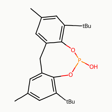 Cc1cc2c(c(C(C)(C)C)c1)OP(O)Oc1c(cc(C)cc1C(C)(C)C)C2